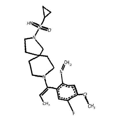 C=Nc1cc(OC)c(F)cc1/C(=C\C)N1CCC2(CC1)CCN(S(=N)(=O)C1CC1)C2